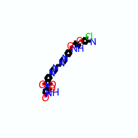 CC1(C)[C@H](NC(=O)c2ccc(N3CCN(CCN4CCN(c5ccc6c(c5)C(=O)N(C5CCC(=O)NC5=O)C6=O)CC4)CC3)cc2)C(C)(C)[C@H]1Oc1ccc(C#N)c(Cl)c1